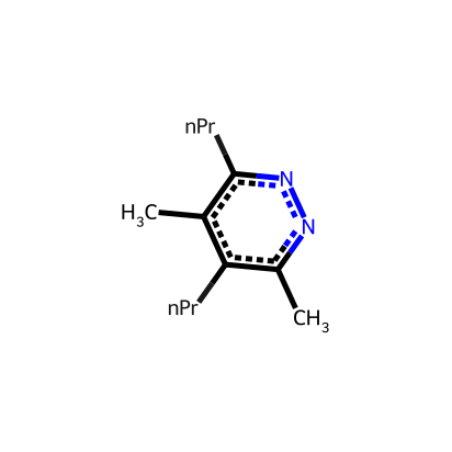 CCCc1nnc(C)c(CCC)c1C